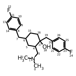 CN(C)CC1CC(Cc2ccc(F)cc2)CCC1(O)Cc1ccc(F)cc1